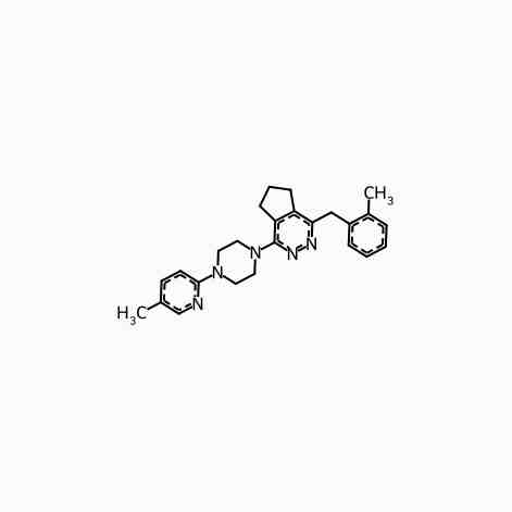 Cc1ccc(N2CCN(c3nnc(Cc4ccccc4C)c4c3CCC4)CC2)nc1